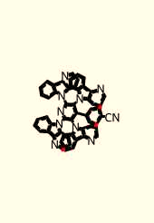 N#Cc1ccc(-c2c(-n3c4ccccc4c4ncccc43)c(-n3c4ccccc4c4ncccc43)nc(-n3c4ccccc4c4ncccc43)c2-n2c3ccccc3c3ncccc32)cc1